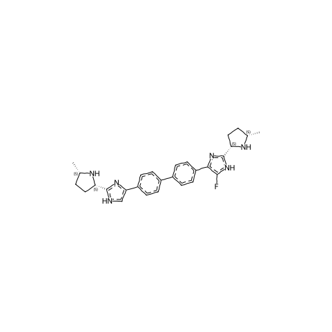 C[C@H]1CC[C@@H](c2nc(-c3ccc(-c4ccc(-c5nc([C@@H]6CC[C@H](C)N6)[nH]c5F)cc4)cc3)c[nH]2)N1